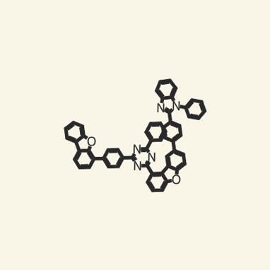 c1ccc(-c2nc(-c3ccc(-c4cccc5c4oc4ccccc45)cc3)nc(-c3cccc4oc5ccc(-c6ccc(-c7nc8ccccc8n7-c7ccccc7)cc6)cc5c34)n2)cc1